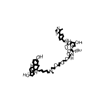 Cc1ncsc1-c1ccc(CNC(=O)[C@@H]2C[C@@H](O)CN2C(=O)[C@@H](NC(=O)COCCOCCOCCN(C)CCCCC[C@@H]2Cc3cc(O)ccc3[C@H]3CC[C@]4(C)[C@@H](O)CC[C@H]4[C@H]23)C(C)(C)C)cc1